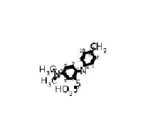 C=C1C=CC(=Nc2ccc(N(C)C)cc2SS(=O)(=O)O)C=C1